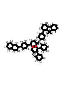 CC1(C)c2ccccc2-c2cccc(-c3ccc(N(c4ccc(-c5ccc(-c6ccc7ccccc7c6)cc5)cc4)c4ccccc4-c4cccc5sc6ccccc6c45)cc3)c21